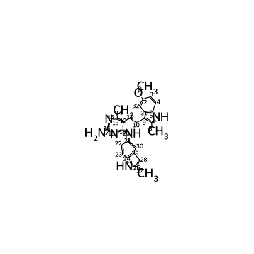 COc1ccc2[nH]c(C)c(CCc3c(C)nc(N)nc3Nc3ccc4[nH]c(C)cc4c3)c2c1